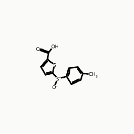 Cc1ccc([S+]([O-])c2ccc(C(=O)O)s2)cc1